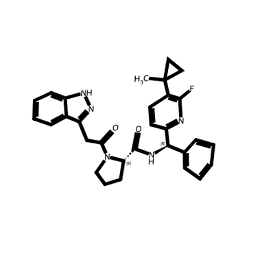 CC1(c2ccc([C@H](NC(=O)[C@@H]3CCCN3C(=O)Cc3n[nH]c4ccccc34)c3ccccc3)nc2F)CC1